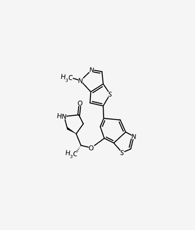 C[C@@H](Oc1cc(-c2cc3c(cnn3C)s2)cc2ncsc12)[C@H]1CNC(=O)C1